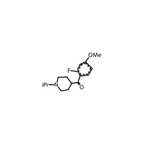 COc1ccc(C(=O)C2CCN(C(C)C)CC2)c(F)c1